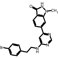 Cn1[nH]c(=O)c2ccc(-c3cc(NCCc4ccc(Br)cc4)ncn3)cc21